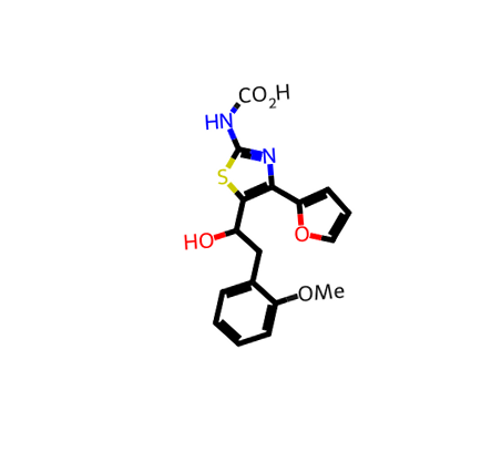 COc1ccccc1CC(O)c1sc(NC(=O)O)nc1-c1ccco1